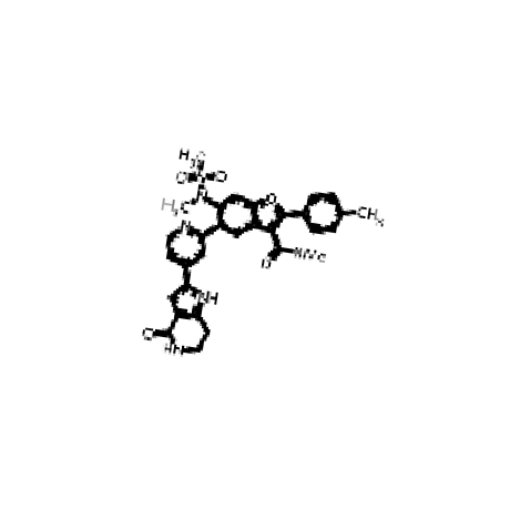 CNC(=O)c1c(-c2ccc(C)cc2)oc2cc(N(C)S(C)(=O)=O)c(-c3cc(-c4cc5c([nH]4)CCNC5=O)ccn3)cc12